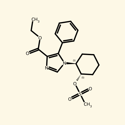 CCOC(=O)c1ncn([C@H]2CCCC[C@@H]2OS(C)(=O)=O)c1-c1ccccc1